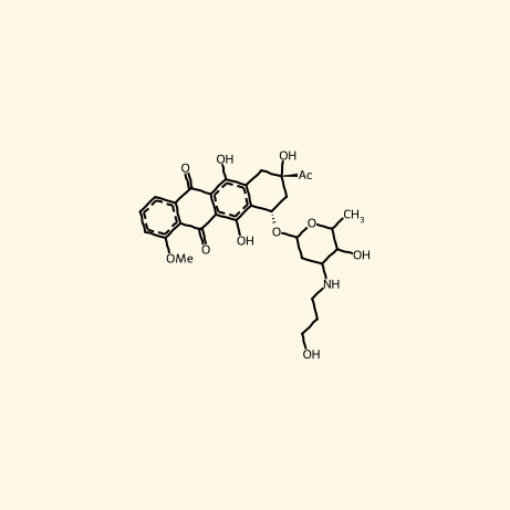 COc1cccc2c1C(=O)c1c(O)c3c(c(O)c1C2=O)C[C@@](O)(C(C)=O)C[C@@H]3OC1CC(NCCCO)C(O)C(C)O1